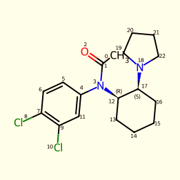 CC(=O)N(c1ccc(Cl)c(Cl)c1)[C@@H]1CCCC[C@@H]1N1CCCC1